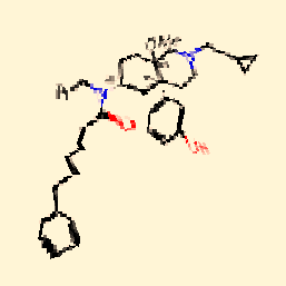 CO[C@]12CC[C@@H](N(CC(C)C)C(=O)CCCCCc3ccccc3)C[C@]1(c1cccc(O)c1)CCN(CC1CC1)C2